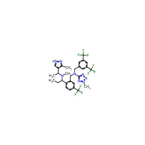 CCC(c1ccc(C(F)(F)F)cc1CN(Cc1cc(C(F)(F)F)cc(C(F)(F)F)c1)c1nnn(C)n1)N(C)C(C)c1c[nH]nc1C